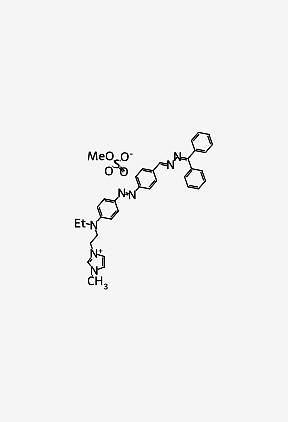 CCN(CC[n+]1ccn(C)c1)c1ccc(N=Nc2ccc(C=NN=C(c3ccccc3)c3ccccc3)cc2)cc1.COS(=O)(=O)[O-]